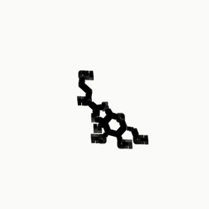 OCCNC1=N[C@@H]2C(O[C@H](CO)[C@@H](O)[C@@H]2O)S1